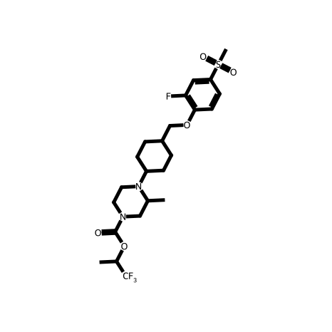 CC1CN(C(=O)OC(C)C(F)(F)F)CCN1C1CCC(COc2ccc(S(C)(=O)=O)cc2F)CC1